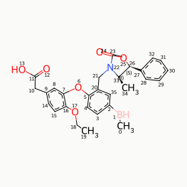 CBc1ccc(Oc2cc(CC(=O)O)ccc2OCC)c(CN2C(=O)O[C@@H](c3ccccc3)[C@H]2C)c1